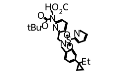 CCC1(c2ccc(CN(Cc3cccc(N(CC(=O)O)C(=O)OC(C)(C)C)n3)S(=O)(=O)c3ccccn3)cc2)CC1